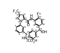 O=C(O)NCc1cccc(-n2nc(C(F)(F)F)cc2C(=O)Nc2cc(C(O)c3ccncc3)ccc2F)c1